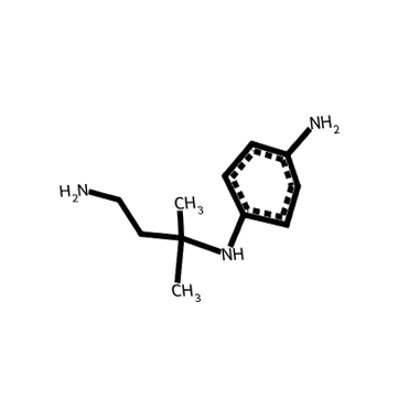 CC(C)(CCN)Nc1ccc(N)cc1